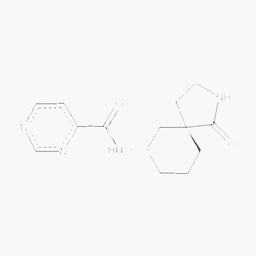 O=C(N[C@H]1CCC[C@]2(CCNC2=O)C1)c1ccncn1